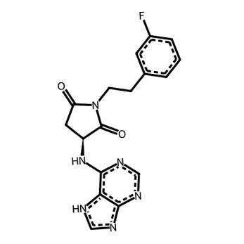 O=C1C[C@H](Nc2ncnc3nc[nH]c23)C(=O)N1CCc1cccc(F)c1